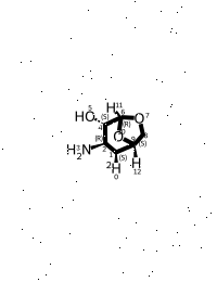 [2H][C@H]1[C@@H](N)[C@H](O)[C@@H]2OC[C@H]1O2